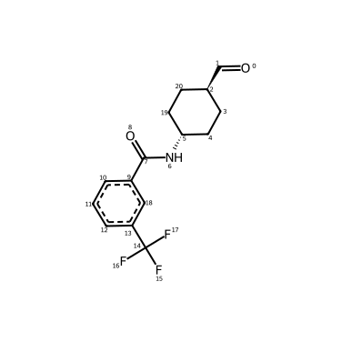 O=C[C@H]1CC[C@H](NC(=O)c2cccc(C(F)(F)F)c2)CC1